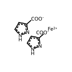 O=C([O-])c1cc[nH]n1.O=C([O-])c1cc[nH]n1.[Fe+2]